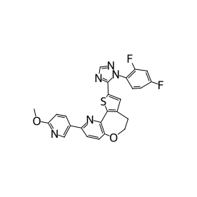 COc1ccc(-c2ccc3c(n2)-c2sc(-c4ncnn4-c4ccc(F)cc4F)cc2CCO3)cn1